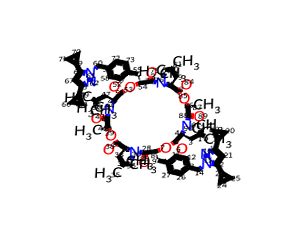 CC(C)C[C@H]1C(=O)O[C@H](Cc2ccc(Cn3nc(C4CC4)cc3C3CC3)cc2)C(=O)N(C)[C@@H](CC(C)C)C(=O)O[C@H](C)C(=O)N(C)[C@@H](CC(C)C)C(=O)O[C@H](Cc2ccc(Cn3nc(C4CC4)cc3C3CC3)cc2)C(=O)N(C)[C@@H](CC(C)C)C(=O)O[C@H](C)C(=O)N1C